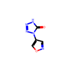 O=c1[nH]nnn1-c1cnoc1